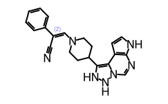 N#C/C(=C\N1CCC(C2=C3c4cc[nH]c4N=CN3NN2)CC1)c1ccccc1